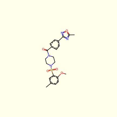 COc1ccc(C)cc1S(=O)(=O)N1CCN(C(=O)c2ccc(-c3noc(C)n3)cc2)CC1